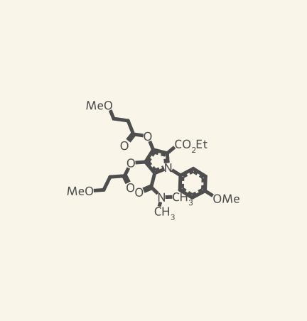 CCOC(=O)c1c(OC(=O)CCOC)c(OC(=O)CCOC)c(C(=O)N(C)C)n1-c1ccc(OC)cc1